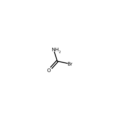 NC(=O)Br